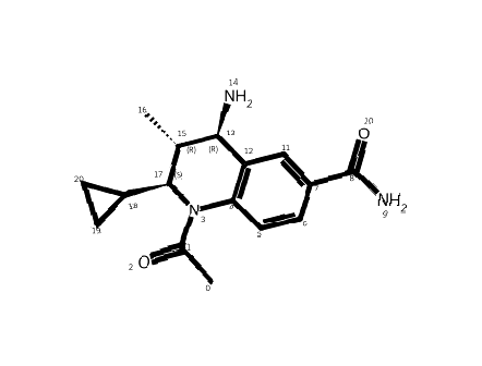 CC(=O)N1c2ccc(C(N)=O)cc2[C@H](N)[C@@H](C)[C@@H]1C1CC1